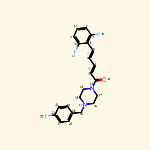 O=C(/C=C/C=C/c1c(F)cccc1F)N1CCN(Cc2ccc(F)cc2)CC1